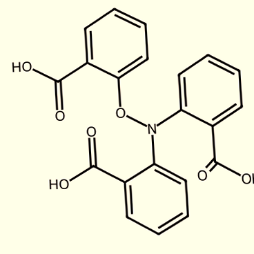 O=C(O)c1ccccc1ON(c1ccccc1C(=O)O)c1ccccc1C(=O)O